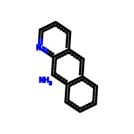 N.c1ccc2cc3ncccc3cc2c1